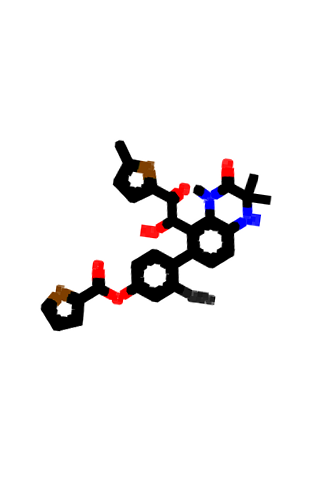 COc1cc(OC(=O)c2cccs2)ccc1-c1ccc2c(c1C(O)C(=O)c1ccc(C)s1)N(C)C(=O)C(C)(C)N2